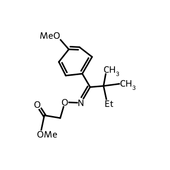 CCC(C)(C)/C(=N/OCC(=O)OC)c1ccc(OC)cc1